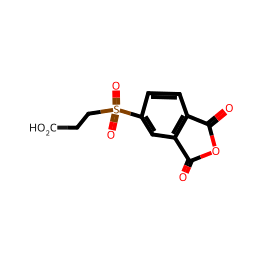 O=C(O)CCS(=O)(=O)c1ccc2c(c1)C(=O)OC2=O